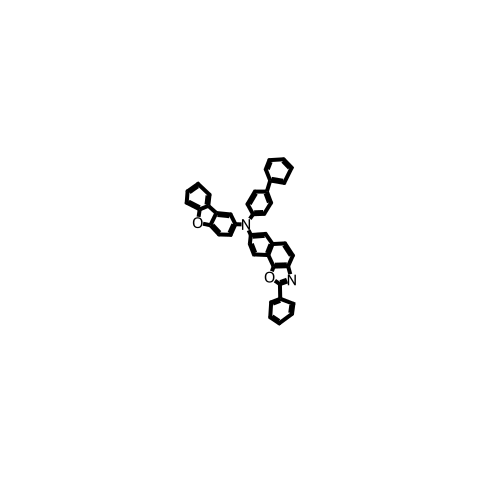 c1ccc(-c2ccc(N(c3ccc4c(ccc5nc(-c6ccccc6)oc54)c3)c3ccc4oc5ccccc5c4c3)cc2)cc1